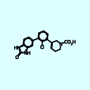 O=C(O)N1CCC=C(c2cccc(-c3ccc4[nH]c(=O)[nH]c4c3)c2Cl)C1